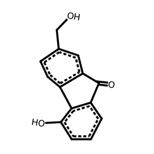 O=C1c2cc(CO)ccc2-c2c(O)cccc21